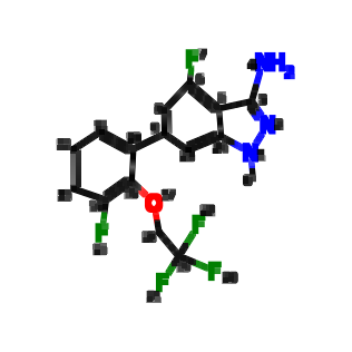 Cn1nc(N)c2c(F)cc(-c3cccc(F)c3OCC(F)(F)F)cc21